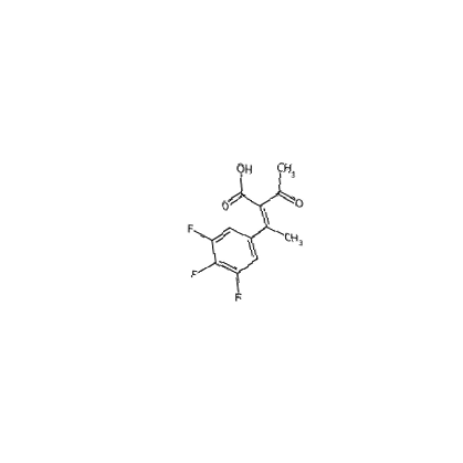 CC(=O)C(C(=O)O)=C(C)c1cc(F)c(F)c(F)c1